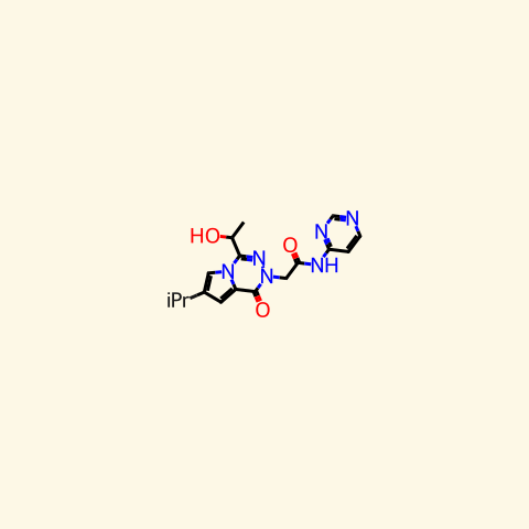 CC(C)c1cc2c(=O)n(CC(=O)Nc3ccncn3)nc(C(C)O)n2c1